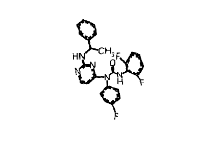 CC(Nc1nccc(N(C(=O)Nc2c(F)cccc2F)c2ccc(F)cc2)n1)c1ccccc1